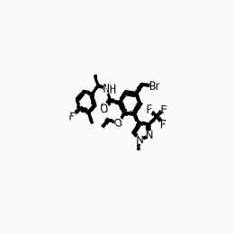 CCOc1c(C(=O)NC(C)c2ccc(F)c(C)c2)cc(CBr)cc1-c1cn(C)nc1C(F)(F)F